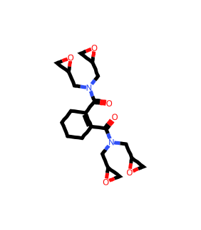 O=C(C1=C(C(=O)N(CC2CO2)CC2CO2)CCCC1)N(CC1CO1)CC1CO1